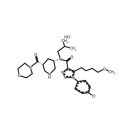 COCCCCc1c(C(=O)N(CC(C)C)[C@@H]2CNC[C@H](C(=O)N3CCOCC3)C2)nnn1-c1ccc(Cl)cc1.Cl